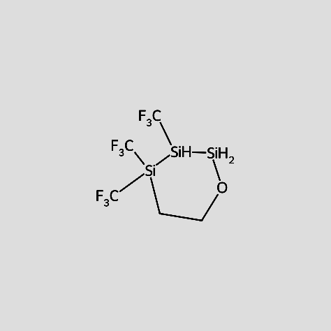 FC(F)(F)[SiH]1[SiH2]OCC[Si]1(C(F)(F)F)C(F)(F)F